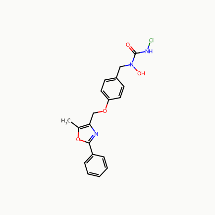 Cc1oc(-c2ccccc2)nc1COc1ccc(CN(O)C(=O)NCl)cc1